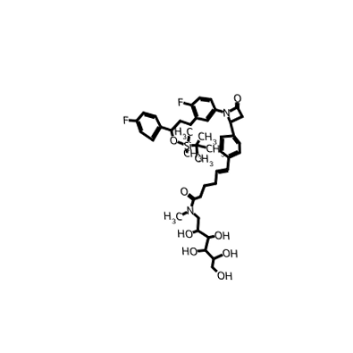 CN(CC(O)C(O)C(O)C(O)CO)C(=O)CCCC=Cc1ccc(C2CC(=O)N2c2ccc(F)c(CCC(O[Si](C)(C)C(C)(C)C)c3ccc(F)cc3)c2)cc1